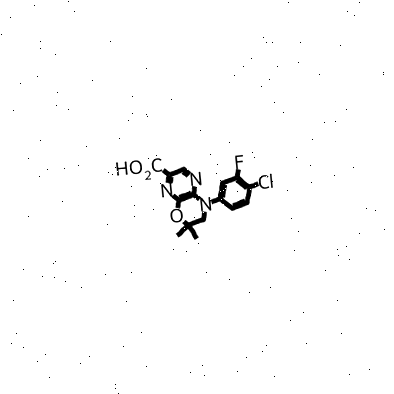 CC1(C)CN(c2ccc(Cl)c(F)c2)c2ncc(C(=O)O)nc2O1